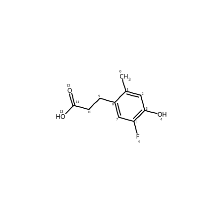 Cc1cc(O)c(F)cc1CCC(=O)O